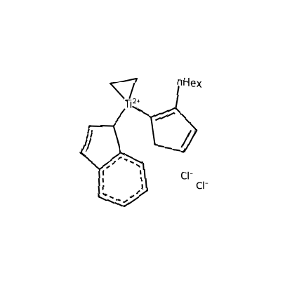 CCCCCCC1=[C]([Ti+2]2([CH]3C=Cc4ccccc43)[CH2][CH2]2)CC=C1.[Cl-].[Cl-]